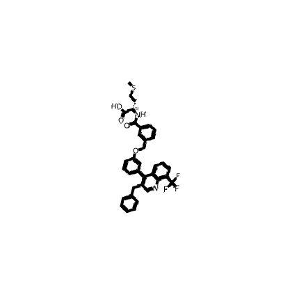 CSCC[C@H](NC(=O)c1cccc(COc2cccc(-c3c(Cc4ccccc4)cnc4c(C(F)(F)F)cccc34)c2)c1)C(=O)O